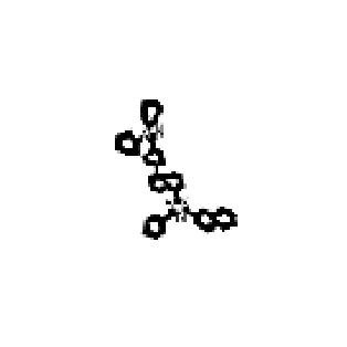 c1ccc(-c2nc(-c3ccc4ccccc4c3)nc(-c3cccc4c(-c5ccc(-c6nc7ccccc7n6-c6ccccc6)cc5)cccc34)n2)cc1